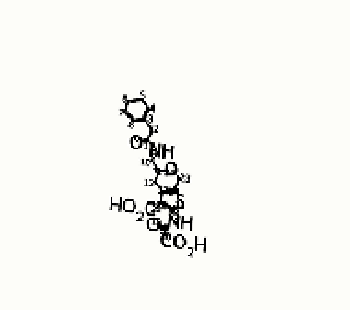 O=C(Cc1ccccc1)NCC1Cc2c(sc(NC(=O)C(=O)O)c2C(=O)O)CO1